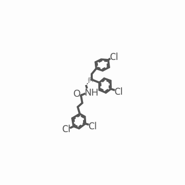 O=C(CCc1cc(Cl)cc(Cl)c1)NC[C@H](Cc1ccc(Cl)cc1)c1ccc(Cl)cc1